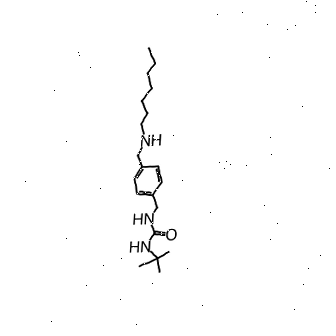 CCCCCCCNCc1ccc(CNC(=O)NC(C)(C)C)cc1